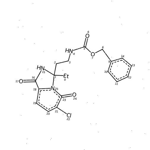 CCC1(CCNC(=O)OCc2ccccc2)NC(=O)c2ccc(Cl)c(=O)n21